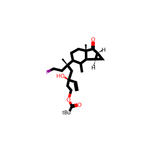 C=C[C@](O)(CCOC(=O)C(C)(C)C)C[C@](C)(CCI)C1CC[C@]2(C)C(=O)[C@H]3C[C@H]3C2C1C